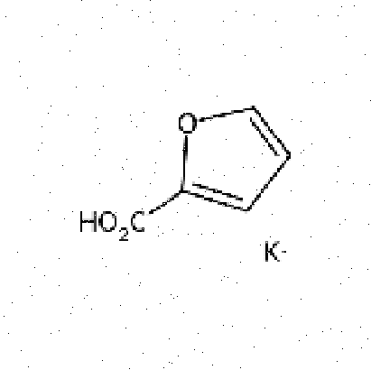 O=C(O)c1ccco1.[K]